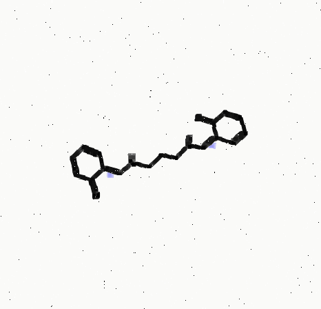 O=C1C=CC=C/C1=C/NCCCN/C=C1\C=CC=CC1=O